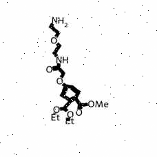 CCOC(OCC)c1cc(OCC(=O)NCCOCCN)ccc1C(=O)OC